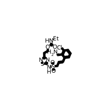 CCNC(=O)OCCc1nsc(NS(=O)(=O)CC=Cc2cccc(Cl)c2CN)n1